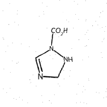 O=C(O)N1C=NCN1